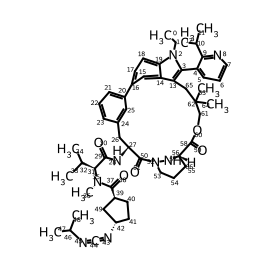 CCn1c(-c2cccnc2C(C)C)c2c3cc(ccc31)-c1cccc(c1)C[C@H](NC(=O)[C@H](C(C)C)N(C)C(=O)[C@H]1CC[C@H](N=C=NC(C)C)C1)C(=O)N1CCC[C@H](N1)C(=O)OCC(C)(C)C2